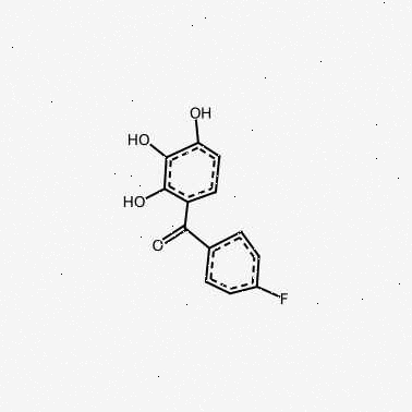 O=C(c1ccc(F)cc1)c1ccc(O)c(O)c1O